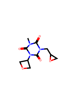 Cn1c(=O)n(CC2CO2)c(=O)n(C2COC2)c1=O